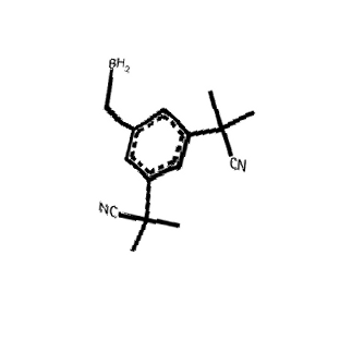 BCc1cc(C(C)(C)C#N)cc(C(C)(C)C#N)c1